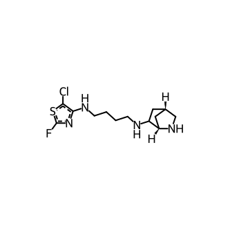 Fc1nc(NCCCCNC2C[C@@H]3CN[C@H]2C3)c(Cl)s1